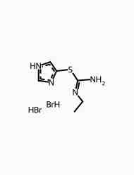 Br.Br.CCN=C(N)Sc1c[nH]cn1